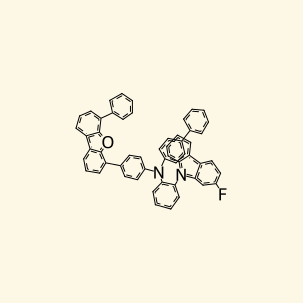 Fc1ccc2c3ccccc3n(-c3ccccc3N(c3ccc(-c4ccccc4)cc3)c3ccc(-c4cccc5c4oc4c(-c6ccccc6)cccc45)cc3)c2c1